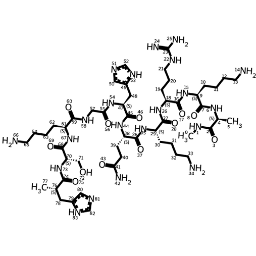 CNC(=O)[C@H](C)NC(=O)[C@H](CCCCN)NC(=O)[C@H](CCCNC(=N)N)NC(=O)[C@H](CCCCN)NC(=O)[C@H](CCC(N)=O)NC(=O)[C@H](Cc1cnc[nH]1)NC(=O)CNC(=O)[C@H](CCCCN)NC(=O)[C@H](CO)NC(=O)[C@@H](C)Cc1cnc[nH]1